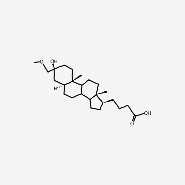 COC[C@]1(O)CC[C@]2(C)C3CC[C@@]4(C)C(CC[C@@H]4CCCC(=O)O)C3CC[C@H]2C1